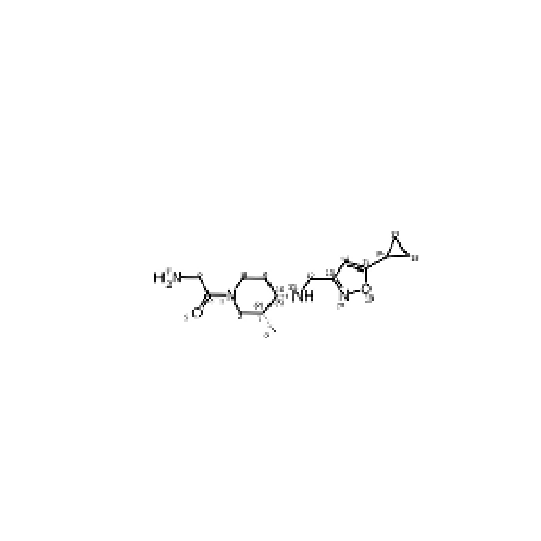 C[C@@H]1CN(C(=O)CN)CC[C@@H]1NCc1cc(C2CC2)on1